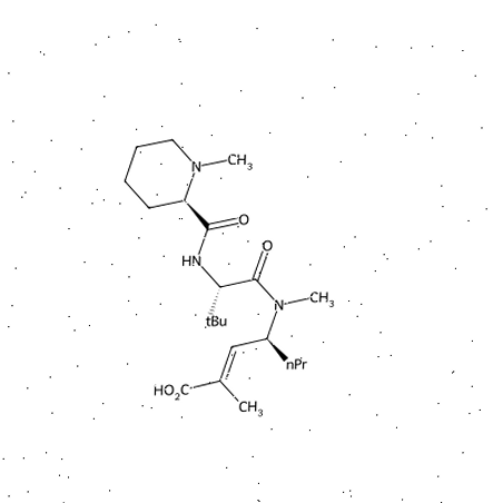 CCC[C@@H](/C=C(\C)C(=O)O)N(C)C(=O)[C@@H](NC(=O)[C@H]1CCCCN1C)C(C)(C)C